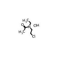 CCN(CCCl)C(C)=O.Cl